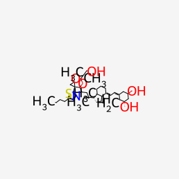 C=C1/C(=C\C=C2/CCC[C@]3(C)[C@@H]([C@H](C)CC[C@H](OC(=O)C(C)(C)CO)C4(c5ncc(CCCC)s5)CC4)CC[C@@H]23)C[C@@H](O)C[C@@H]1O